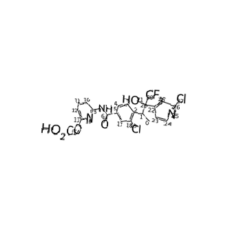 CC(c1ccc(C(=O)Nc2cccc(OC(=O)O)n2)cc1Cl)C(O)(c1ccnc(Cl)c1)C(F)(F)F